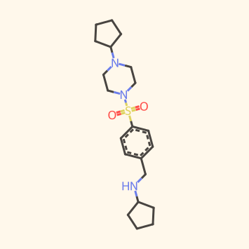 O=S(=O)(c1ccc(CNC2CCCC2)cc1)N1CCN(C2CCCC2)CC1